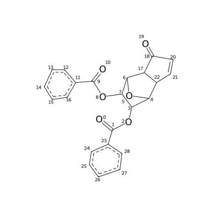 O=C(OC1C2OC(C1OC(=O)c1ccccc1)C1C(=O)C=CC21)c1ccccc1